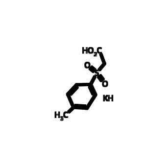 Cc1ccc(S(=O)(=O)CC(=O)O)cc1.[KH]